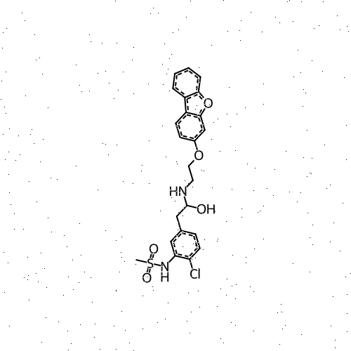 CS(=O)(=O)Nc1cc(CC(O)NCCOc2ccc3c(c2)oc2ccccc23)ccc1Cl